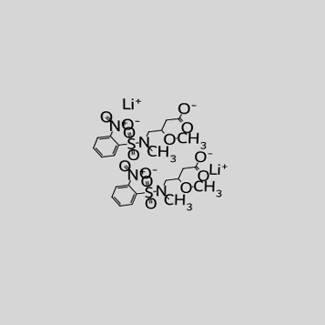 COC(CC(=O)[O-])CN(C)S(=O)(=O)c1ccccc1[N+](=O)[O-].COC(CC(=O)[O-])CN(C)S(=O)(=O)c1ccccc1[N+](=O)[O-].[Li+].[Li+]